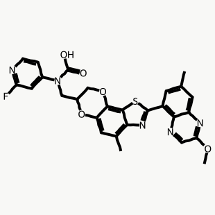 COc1cnc2c(-c3nc4c(C)cc5c(c4s3)OCC(CN(C(=O)O)c3ccnc(F)c3)O5)cc(C)cc2n1